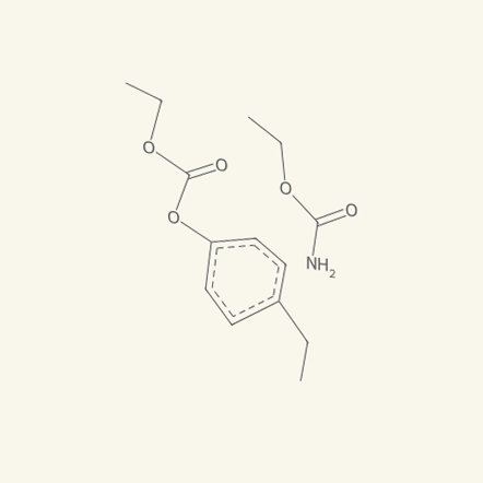 CCOC(=O)Oc1ccc(CC)cc1.CCOC(N)=O